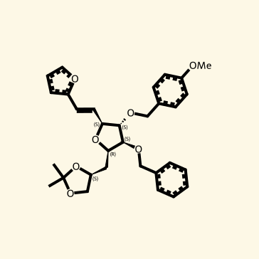 COc1ccc(CO[C@@H]2[C@@H](OCc3ccccc3)[C@@H](C[C@H]3COC(C)(C)O3)O[C@H]2C=Cc2ccco2)cc1